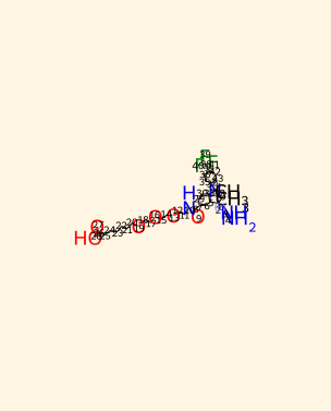 C/C(=C\NN)c1cc(C(=O)NCCOCCOCCOCCCCCCC(=O)O)ccc1N(C)c1ccc(C(F)(F)F)cc1